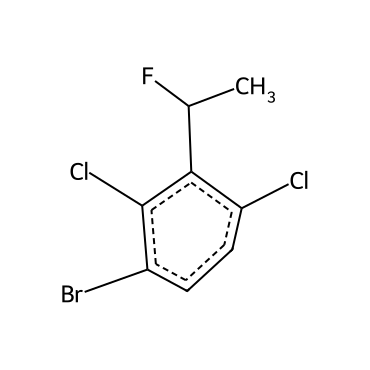 CC(F)c1c(Cl)ccc(Br)c1Cl